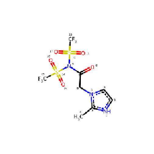 Cc1[nH]cc[n+]1CC(=O)N(S(=O)(=O)C(F)(F)F)S(=O)(=O)C(F)(F)F